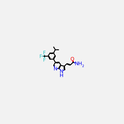 CC(C)c1cc(-c2cnc3[nH]cc(/C=C/C(N)=O)c3c2)cc(C(F)(F)F)c1